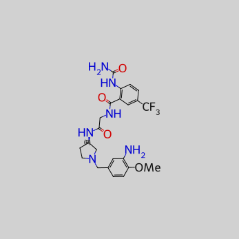 COc1ccc(CN2CC[C@@H](NC(=O)CNC(=O)c3cc(C(F)(F)F)ccc3NC(N)=O)C2)cc1N